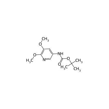 COc1cc(NC(=O)OC(C)(C)C)cnc1OC